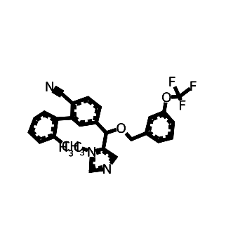 Cc1ccccc1-c1cc(C(OCc2cccc(OC(F)(F)F)c2)c2cncn2C)ccc1C#N